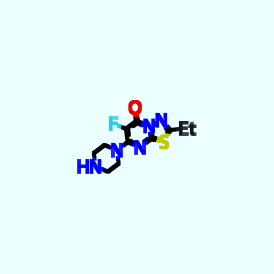 CCc1nn2c(=O)c(F)c(N3CCNCC3)nc2s1